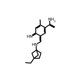 C=C(N)C1=C/C(=C/NC23CCC(CC)(C2)C3)C(=N)C=C1C